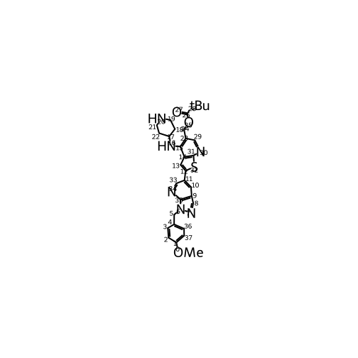 COc1ccc(Cn2ncc3cc(-c4cc5c(NC6CCNCC6)c(COC(=O)C(C)(C)C)cnc5s4)cnc32)cc1